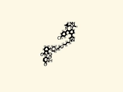 Cc1nnc2n1-c1ccc(-c3cnn(CCCCOCCN4CCN(c5cccc6c5C(=O)N(C5CCC(=O)NC5=O)C6=O)CC4)c3)cc1C(c1ccc(Cl)cc1)=NC21CC1